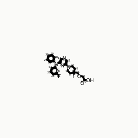 O=C(O)COCC1(F)CCN(c2cncc(N(c3ccccc3)c3cccc(F)n3)n2)CC1